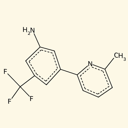 Cc1cccc(-c2cc(N)cc(C(F)(F)F)c2)n1